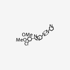 COc1cc(OC)c(-c2cn3ccc(N4CCN(c5cccnc5)CC4)cc3n2)cc1Cl